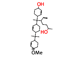 C=CC(CCC(C)O)C(C)(C1C=CC(O)CC1)C1C=CC(C(C)(C)C2C=C[C@@H](OC)CC2)CC1